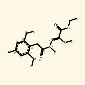 CCOC(=O)C(=NN(C)C(=O)Cc1c(CC)cc(C)cc1CC)SC